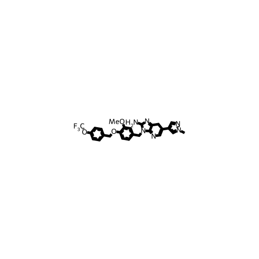 COc1cc(CN2C3=NC=C(c4cnn(C)c4)CC3=NC2N)ccc1OCc1ccc(OC(F)(F)F)cc1